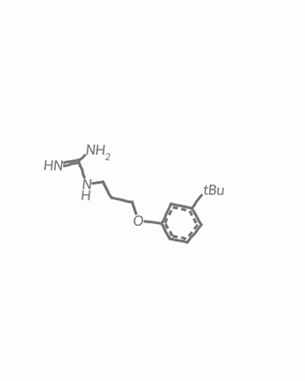 CC(C)(C)c1cccc(OCCCNC(=N)N)c1